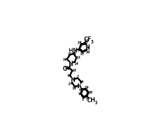 Cc1ccc(N2CCN(CCC(=O)N3CCC(Nc4ccnc(C(F)(F)F)c4)CC3)CC2)cc1